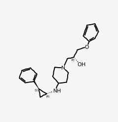 O[C@@H](COc1ccccc1)CN1CCC(N[C@@H]2C[C@H]2c2ccccc2)CC1